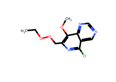 CCOOCc1nc(Cl)c2cncnc2c1OC